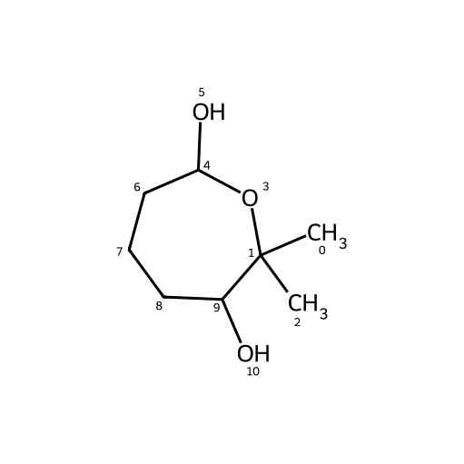 CC1(C)OC(O)CCCC1O